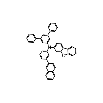 c1ccc(-c2cc(-c3ccccc3)cc(N(c3cccc(-c4ccc5ccccc5c4)c3)c3ccc4c(c3)oc3ccccc34)c2)cc1